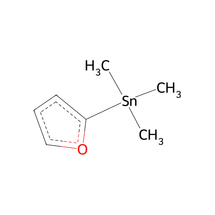 [CH3][Sn]([CH3])([CH3])[c]1ccco1